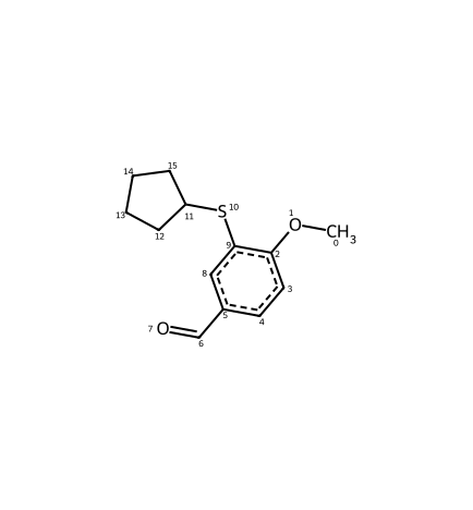 COc1ccc(C=O)cc1SC1CCCC1